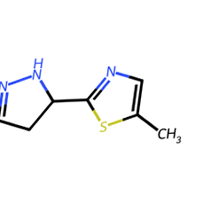 Cc1cnc(C2CC=NN2)s1